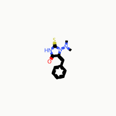 CN(C)N1C(=S)NC(=O)C1=Cc1ccccc1